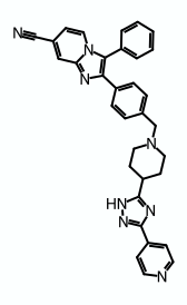 N#Cc1ccn2c(-c3ccccc3)c(-c3ccc(CN4CCC(c5nc(-c6ccncc6)n[nH]5)CC4)cc3)nc2c1